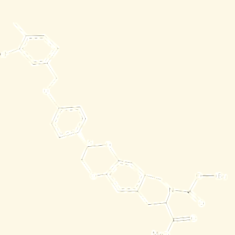 COC(=O)C1Cc2cc3c(cc2CN1C(=O)OC(C)(C)C)O[C@@H](c1ccc(OCc2ccc(C)c(Cl)c2)cc1)CO3